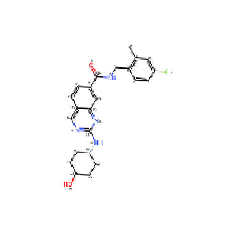 Cc1cc(F)ccc1CNC(=O)c1ccc2cnc(N[C@H]3CC[C@H](O)CC3)nc2c1